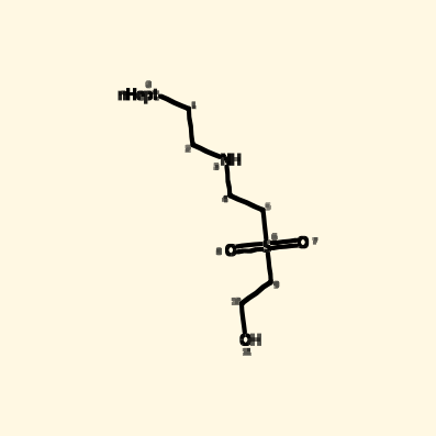 CCCCCCCCCNCCS(=O)(=O)CCO